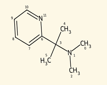 CN(C)C(C)(C)c1ccccn1